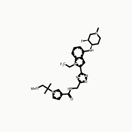 COCC(C)(C)n1ccc(C(=O)NCc2nc(-c3cc4c(N[C@@H]5CCN(C)C[C@@H]5F)cccc4n3CC(F)(F)F)no2)c1